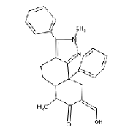 CC1C(=O)C(=CO)CC2(c3ccccc3)c3nn(C)c(-c4ccccc4)c3CCC12